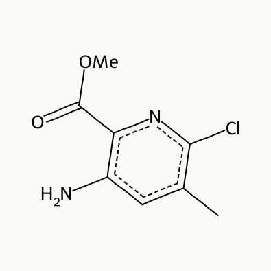 COC(=O)c1nc(Cl)c(C)cc1N